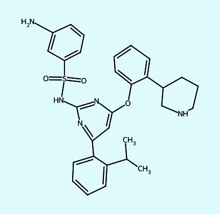 CC(C)c1ccccc1-c1cc(Oc2ccccc2C2CCCNC2)nc(NS(=O)(=O)c2cccc(N)c2)n1